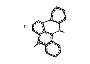 CN1c2ccccc2-c2cccc3c2c1c1ccccc1[n+]3C.[I-]